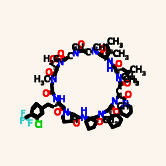 CC[C@H](C)[C@@H]1NC(=O)[C@H](CC(C)C)N(C)C(=O)C[C@@H](C(=O)N2CCCCC2)N(C)C(=O)[C@H](C2CCCCC2)N(C)C(=O)C2(CCCC2)NC(=O)[C@@H]2CCCN2C(=O)[C@H](CCc2ccc(C(F)(F)F)c(Cl)c2)NC(=O)CN(C)C(=O)[C@H](CO)N(C)C(=O)CN(C)C(=O)CN(C)C1=O